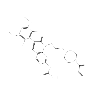 C=CC(=O)N1CCN(CCCn2c(=O)c(-c3c(Cl)c(OC)cc(OC)c3Cl)cc3cnc(NC(=O)O)nc32)CC1